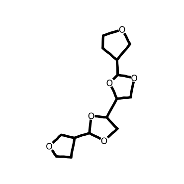 C1CC(C2OCC(C3COC(C4CCOC4)O3)O2)CO1